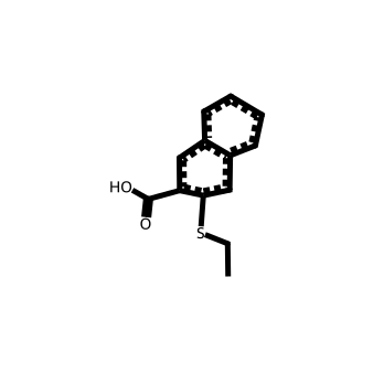 CCSc1cc2ccccc2cc1C(=O)O